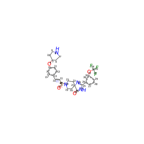 Cc1cc(OC2CCNCC2)ccc1/C=C/[S@+]([O-])N1CCC2(CC1)N=C(c1cccc(OC(F)(F)F)c1)NC2=O